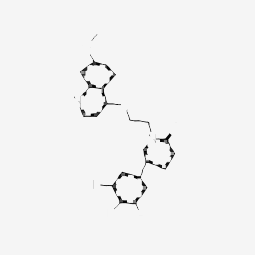 COc1ccc2c(OCCn3cc(-c4cc(F)c(F)c(F)c4)ccc3=O)ccnc2c1